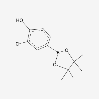 CC1(C)OB(c2ccc(O)c(Cl)c2)OC1(C)C